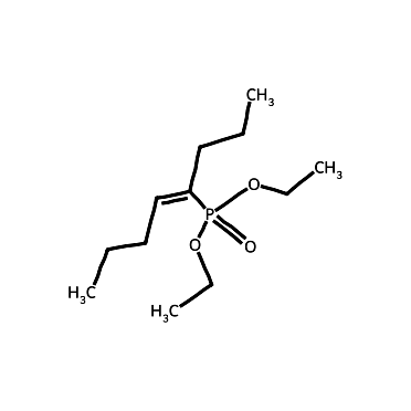 CCCC=C(CCC)P(=O)(OCC)OCC